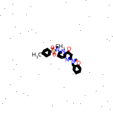 Cc1ccc(S(=O)(=O)N(C)c2ccc3c(n2)C(=O)CC(N(C=O)Cc2ccccc2)=N3)cc1